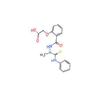 CN(NC(=O)c1ccccc1OCC(=O)O)C(=S)Nc1ccccc1